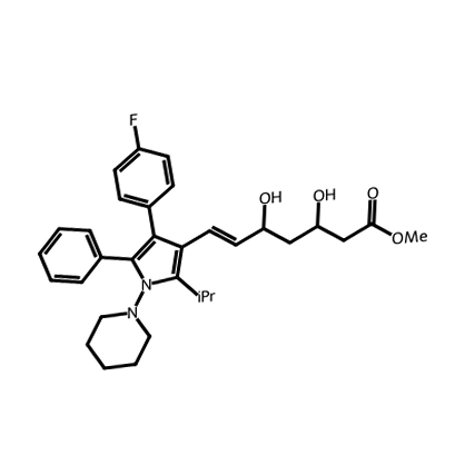 COC(=O)CC(O)CC(O)C=Cc1c(-c2ccc(F)cc2)c(-c2ccccc2)n(N2CCCCC2)c1C(C)C